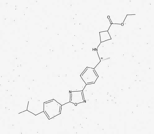 CCOC(=O)C1CC(N[C@H](C)c2ccc(-c3noc(-c4ccc(CC(C)C)cc4)n3)cc2)C1